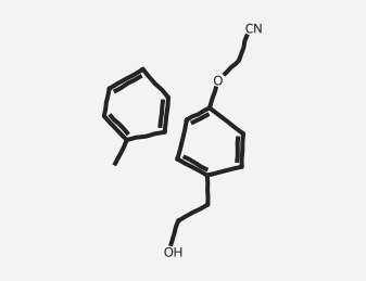 Cc1ccccc1.N#CCOc1ccc(CCO)cc1